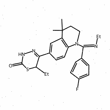 CC/N=C(/c1ccc(F)cc1)N1CCC(C)(C)c2cc(C3=NNC(=O)SC3CC)ccc21